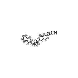 N#CCOc1ccc2cc(-c3cnc(Cc4ccc5ccccc5c4)o3)ccc2c1